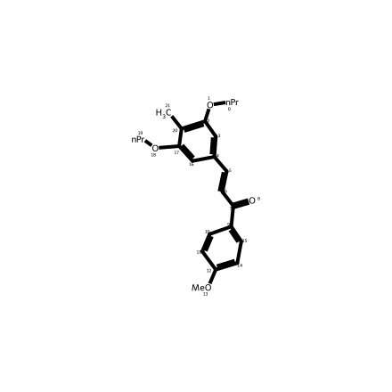 CCCOc1cc(C=CC(=O)c2ccc(OC)cc2)cc(OCCC)c1C